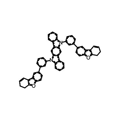 C1=Cc2c(oc3ccc(-c4cccc(-n5c6ccccc6c6cc7c(cc65)c5ccccc5n7-c5cccc(-c6ccc7oc8c(c7c6)C=CCC8)c5)c4)cc23)CC1